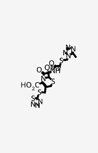 CO[C@@]1(NC(=O)CSCn2nnnc2C)C(=O)N2C(C(=O)O)=C(CSc3nnns3)CSC21